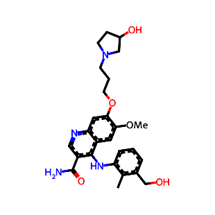 COc1cc2c(Nc3cccc(CO)c3C)c(C(N)=O)cnc2cc1OCCCN1CCC(O)C1